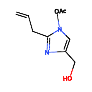 C=CCc1nc(CO)cn1OC(C)=O